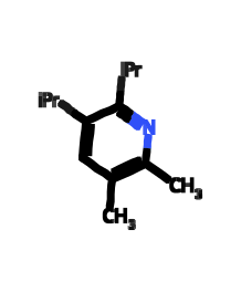 Cc1cc(C(C)C)c(C(C)C)nc1C